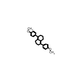 COc1ccc(C2=C3CCCC(c4ccc(OC)cc4)=C3CCC2)cc1